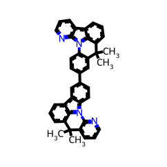 CC1(C)c2cccnc2-n2c3ccc(-c4ccc5c(c4)C(C)(C)c4cccc6c7cccnc7n-5c46)cc3c3cccc1c32